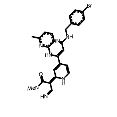 CNC(=O)/C(C=N)=C1C=C(/C(=C/C(=N)NCc2ccc(Br)cc2)Nc2cccc(C)n2)C=CN\1